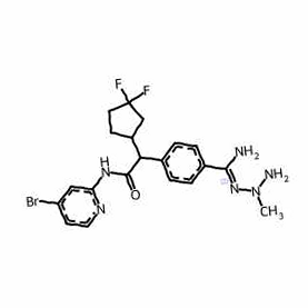 CN(N)/N=C(\N)c1ccc(C(C(=O)Nc2cc(Br)ccn2)C2CCC(F)(F)C2)cc1